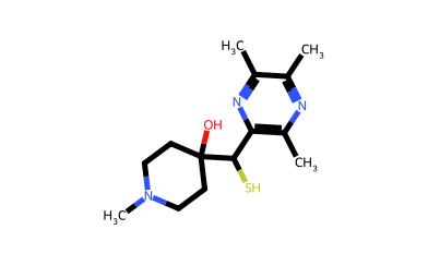 Cc1nc(C)c(C(S)C2(O)CCN(C)CC2)nc1C